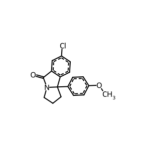 COc1ccc(C23CCCN2C(=O)c2cc(Cl)ccc23)cc1